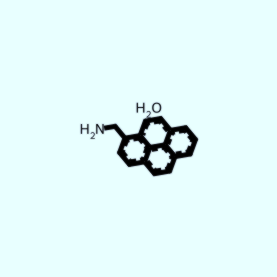 NCc1ccc2ccc3cccc4ccc1c2c34.O